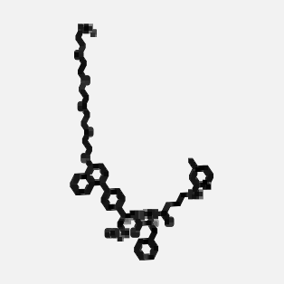 Cc1ccnc(NCCCC(=O)N[C@@H](Cc2ccccc2)C(=O)N[C@@H](CC(=O)O)c2ccc(-c3ccc(OCCOCCOCCOCCOCCN)c4ccccc34)cc2)c1